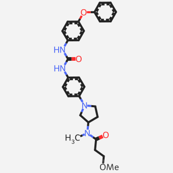 COCCC(=O)N(C)C1CCN(c2ccc(NC(=O)Nc3ccc(Oc4ccccc4)cc3)cc2)C1